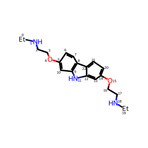 CCNCCOc1ccc2c(c1)[nH]c1cc(OCCNCC)ccc12